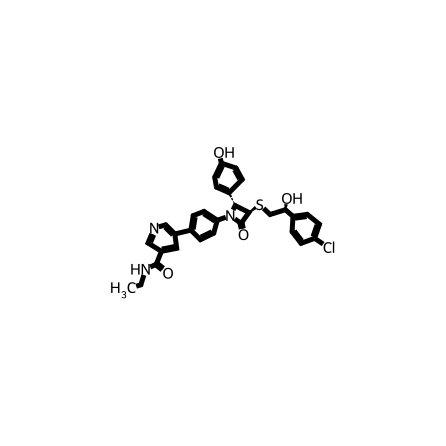 CCNC(=O)c1cncc(-c2ccc(N3C(=O)[C@H](SC[C@@H](O)c4ccc(Cl)cc4)[C@H]3c3ccc(O)cc3)cc2)c1